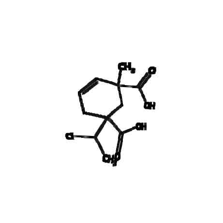 CC(Cl)C1(C(=O)O)CC=CC(C)(C(=O)O)C1